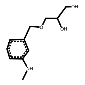 CNc1cccc(COCC(O)CO)c1